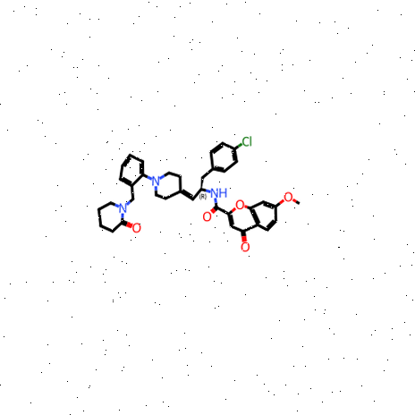 COc1ccc2c(=O)cc(C(=O)N[C@@H](C=C3CCN(c4ccccc4CN4CCCCC4=O)CC3)Cc3ccc(Cl)cc3)oc2c1